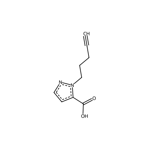 C#CCCCn1nccc1C(=O)O